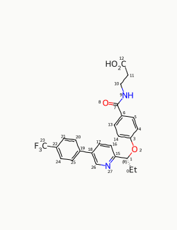 CC[C@@H](Oc1ccc(C(=O)NCCC(=O)O)cc1)c1ccc(-c2ccc(C(F)(F)F)cc2)cn1